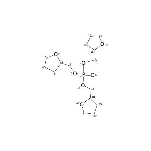 O=P(OCC1CCCO1)(OCC1CCCO1)OCC1CCCO1